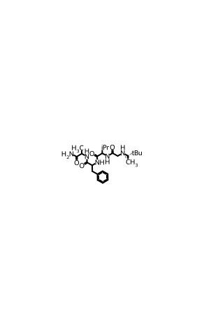 CC(NC(=O)C(Cc1ccccc1)NC(=O)C(NC(=O)CN[C@@H](C)C(C)(C)C)C(C)C)C(N)=O